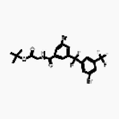 CC(C)(C)OC(=O)CNC(=O)c1cc(Br)cc(C(F)(F)c2cc(Br)cc(C(F)(F)F)c2)c1